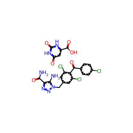 NC(=O)c1nnn(Cc2cc(Cl)c(C(=O)c3ccc(Cl)cc3)c(Cl)c2)c1N.O=C(O)c1cc(=O)[nH]c(=O)[nH]1